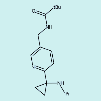 CC(C)NC1(c2ccc(CNC(=O)C(C)(C)C)cn2)CC1